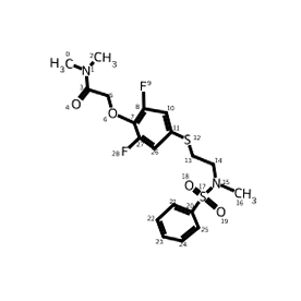 CN(C)C(=O)COc1c(F)cc(SCCN(C)S(=O)(=O)c2ccccc2)cc1F